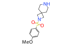 COc1ccc(S(=O)(=O)N2CC3(CCNCC3)C2)cc1